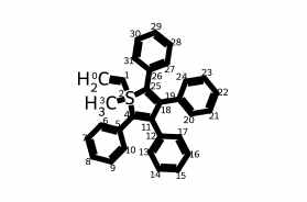 C=CS1(C)C(c2ccccc2)=C(c2ccccc2)C(c2ccccc2)=C1c1ccccc1